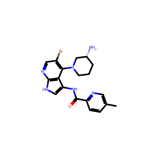 Cc1ccc(C(=O)Nc2c[nH]c3ncc(Br)c(N4CCC[C@@H](N)C4)c23)nc1